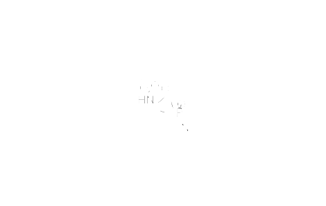 COc1cc(P2(=O)CCN(C)CC2)ccc1NC(=O)OC(C)(C)C